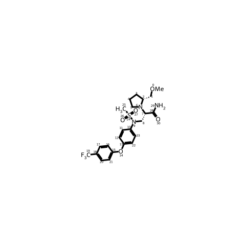 COC[C@H]1CCCN1[C@@H](CN(c1ccc(Oc2ccc(C(F)(F)F)cc2)cc1)S(C)(=O)=O)C(N)=O